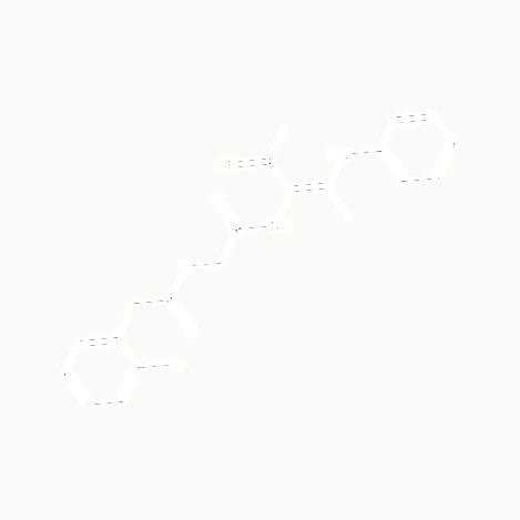 CC(=N)/C(NC(=O)COC(=O)Cc1ccccc1Br)=C(/C)Nc1ccccc1